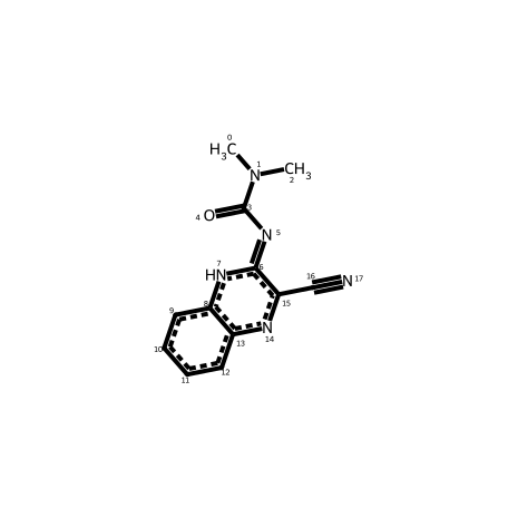 CN(C)C(=O)N=c1[nH]c2ccccc2nc1C#N